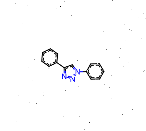 [c]1ccccc1-c1cn(-c2ccccc2)nn1